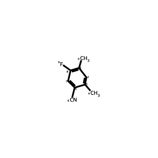 Cc1cc(C)c(C#N)cc1F